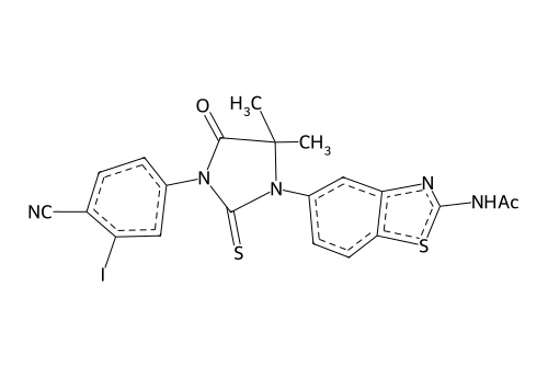 CC(=O)Nc1nc2cc(N3C(=S)N(c4ccc(C#N)c(I)c4)C(=O)C3(C)C)ccc2s1